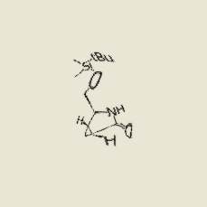 CC(C)(C)[Si](C)(C)OC[C@H]1NC(=O)[C@@H]2C[C@H]12